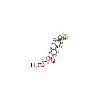 COCCOC(=O)c1ccc(-c2ccc(OC(F)(F)F)cc2)cc1